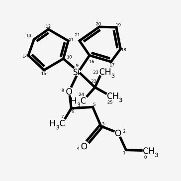 CCOC(=O)CC(C)O[Si](c1ccccc1)(c1ccccc1)C(C)(C)C